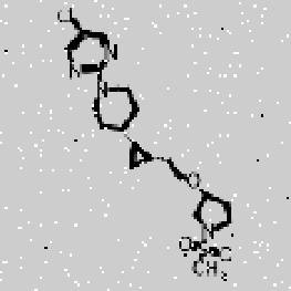 CS(=O)(=O)N1CC[C@H](OCC[C@@H]2C[C@@H]2C2CCN(c3ncc(Cl)cn3)CC2)C1